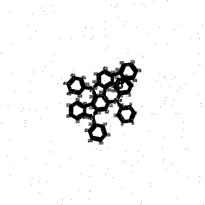 c1ccc(N(c2ccccc2)c2cc3c(c4ccccc4n3-c3ccccc3)c3c2c2c4oc5ccccc5c4ccc2n3-c2ccccc2)cc1